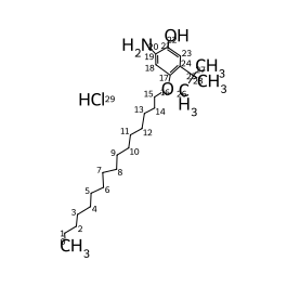 CCCCCCCCCCCCCCCCOc1cc(N)c(O)cc1C(C)(C)C.Cl